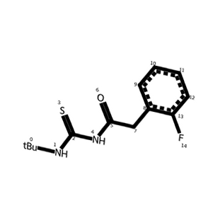 CC(C)(C)NC(=S)NC(=O)Cc1ccccc1F